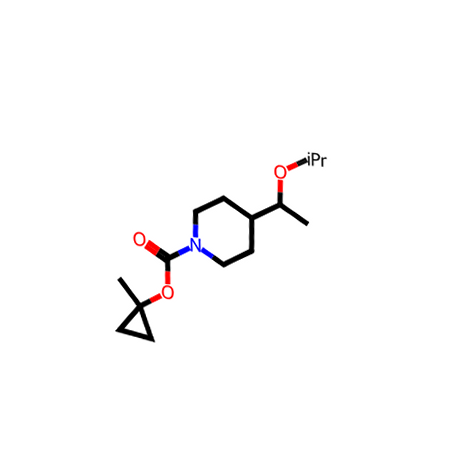 CC(C)OC(C)C1CCN(C(=O)OC2(C)CC2)CC1